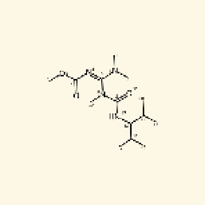 COC(=O)/N=C(/N(C)C)N(C)C(=O)NC(C(C)C)C(C)C